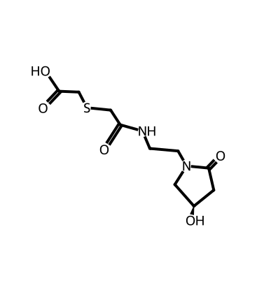 O=C(O)CSCC(=O)NCCN1C[C@H](O)CC1=O